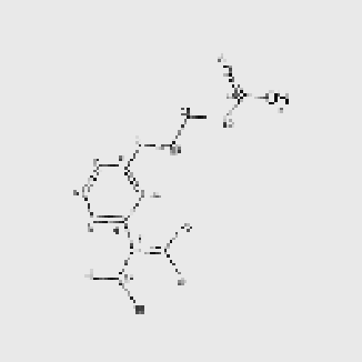 CC(C)=C(c1cccc(CCCCC(=O)O)c1)C(C)C